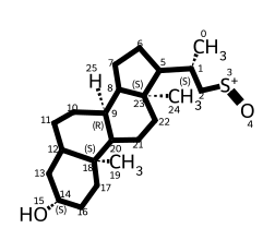 C[C@H](C[S+]=O)C1CCC2[C@@H]3CCC4C[C@@H](O)CC[C@]4(C)C3CC[C@@]21C